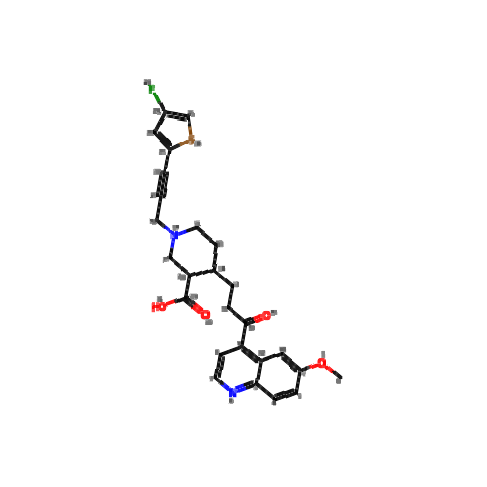 COc1ccc2nccc(C(=O)CCC3CCN(CC#Cc4cc(F)cs4)CC3C(=O)O)c2c1